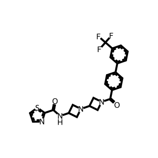 O=C(NC1CN(C2CN(C(=O)c3ccc(-c4cccc(C(F)(F)F)c4)cc3)C2)C1)c1nccs1